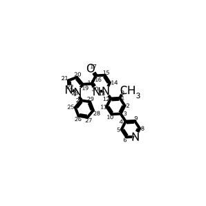 Cc1cc(-c2ccncc2)ccc1-n1ccc(=O)c(-c2ccnn2-c2ccccc2)n1